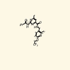 Cc1cc(C(=O)NCc2ccc(OCC(F)(F)F)nc2C)nc(NC(=O)C(C)C)n1